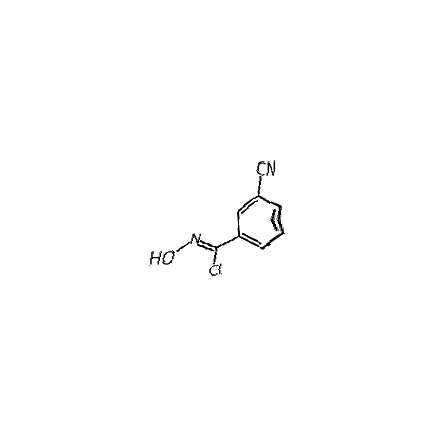 N#Cc1cccc(C(Cl)=NO)c1